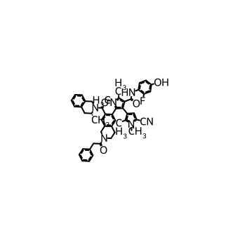 Cc1c(-c2c(C(=O)Nc3ccc(O)cc3F)c(C)n(C)c2-c2cc3c(cc2C(=O)N2Cc4ccccc4C[C@H]2C)CN(C(=O)Cc2ccccc2)CC3)cc(C#N)n1C